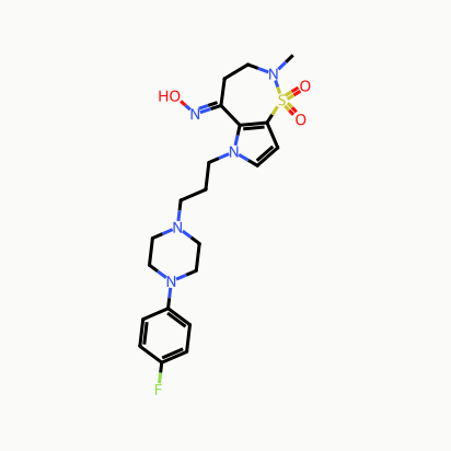 CN1CCC(=NO)c2c(ccn2CCCN2CCN(c3ccc(F)cc3)CC2)S1(=O)=O